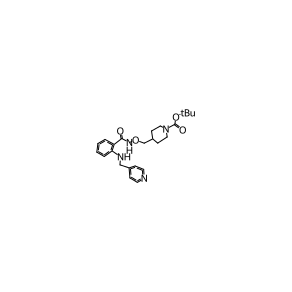 CC(C)(C)OC(=O)N1CCC(CONC(=O)c2ccccc2NCc2ccncc2)CC1